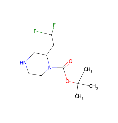 CC(C)(C)OC(=O)N1CCNCC1CC(F)F